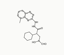 Cc1cccc2nnc(NNC(=O)C(CN(O)C=O)C3CCCCC3)nc12